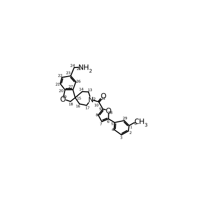 Cc1cccc(-c2ccc(C(=O)N3CCC4(CC3)COc3ccc(CN)cc34)o2)c1